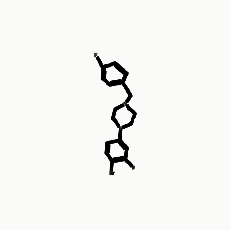 Fc1ccc(CN2CCN(c3c[c]c(Br)c(F)c3)CC2)cc1